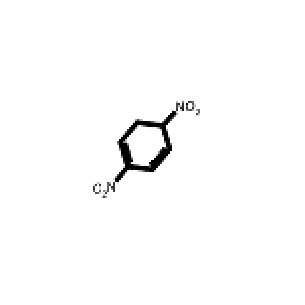 O=[N+]([O-])[C]1C=CC([N+](=O)[O-])=CC1